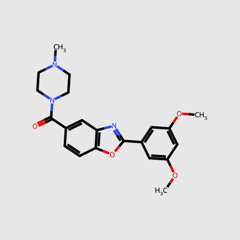 COc1cc(OC)cc(-c2nc3cc(C(=O)N4CCN(C)CC4)ccc3o2)c1